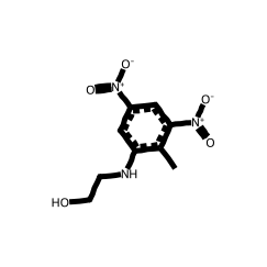 Cc1c(NCCO)cc([N+](=O)[O-])cc1[N+](=O)[O-]